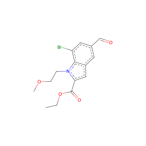 CCOC(=O)c1cc2cc(C=O)cc(Br)c2n1CCOC